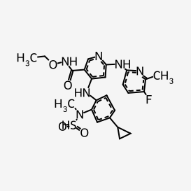 CCONC(=O)c1cnc(Nc2ccc(F)c(C)n2)cc1Nc1ccc(C2CC2)cc1N(C)[SH](=O)=O